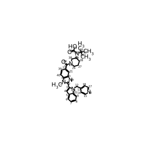 Cn1c(-c2cc3ccccc3n2Cc2ccncc2)nc2cc(C(=O)N3CCC[C@@H](N(C(=O)O)C(C)(C)C)C3)ccc21